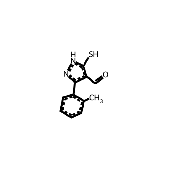 Cc1ccccc1-c1n[nH]c(S)c1C=O